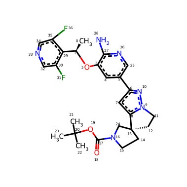 C[C@@H](Oc1cc(-c2cc3n(n2)CC[C@@]32CCN(C(=O)OC(C)(C)C)C2)cnc1N)c1c(F)cncc1F